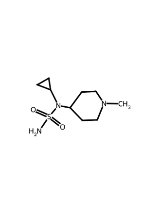 CN1CCC(N(C2CC2)S(N)(=O)=O)CC1